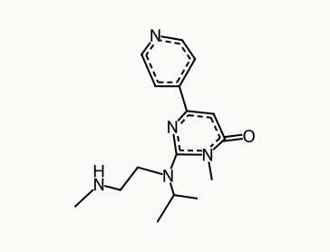 CNCCN(c1nc(-c2ccncc2)cc(=O)n1C)C(C)C